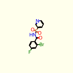 O=C(NS(=O)(=O)c1cccnc1)c1ccc(F)cc1Br